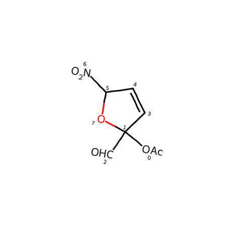 CC(=O)OC1(C=O)C=CC([N+](=O)[O-])O1